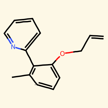 C=CCOc1cc[c]c(C)c1-c1ccccn1